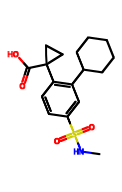 CNS(=O)(=O)c1ccc(C2(C(=O)O)CC2)c(C2CCCCC2)c1